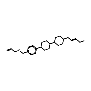 C=CCOCc1ccc(C2CCC(C3CCC(CC=CCC)CC3)CC2)cc1